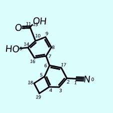 N#Cc1cc2c(c(-c3ccc(C(=O)O)c(O)c3)c1)CC2